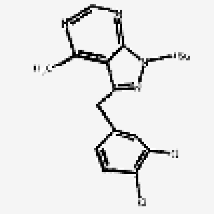 Cc1ncnc2c1c(Cc1ccc(Cl)c(Cl)c1)nn2C(C)(C)C